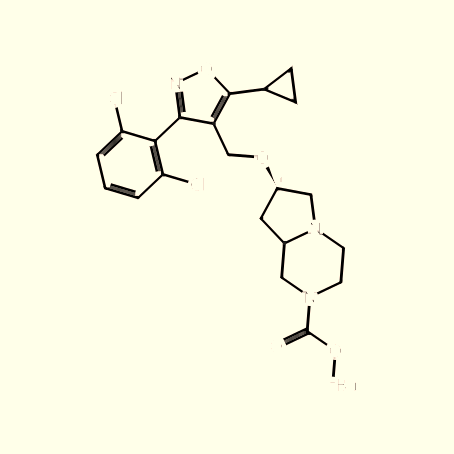 CC(C)(C)OC(=O)N1CCN2C[C@H](OCc3c(-c4c(Cl)cccc4Cl)noc3C3CC3)CC2C1